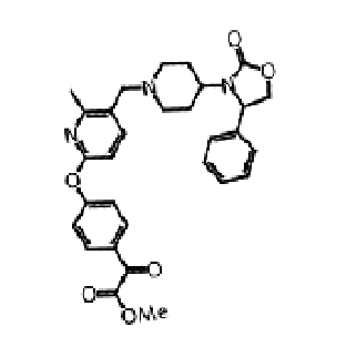 COC(=O)C(=O)c1ccc(Oc2ccc(CN3CCC(N4C(=O)OCC4c4ccccc4)CC3)c(C)n2)cc1